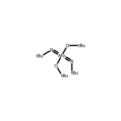 CC(C)(C)[N]=[Mo](=[N]C(C)(C)C)([O]C(C)(C)C)[O]C(C)(C)C